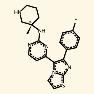 C[C@]1(Nc2nccc(-c3c(-c4ccc(F)cc4)nc4sccn34)n2)CCCNC1